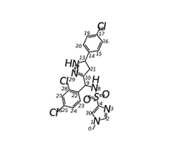 Cn1cnc(S(=O)(=O)NC(C2=NNC(c3ccc(Cl)cc3)C2)c2ccc(Cl)cc2Cl)c1